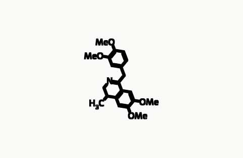 COc1ccc(CC2=NCC(C)c3cc(OC)c(OC)cc32)cc1OC